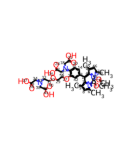 CO[B-]1(OC)n2c(C)cc(C)c2C(c2ccc(N(CC(=O)O)CC(=O)O)c(OCCOCCN(CC(=O)O)CC(=O)O)c2)=C2C(C)=CC(C)=[N+]21